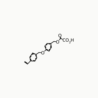 C=Cc1ccc(COc2ccc(COC(=O)C(=O)O)cc2)cc1